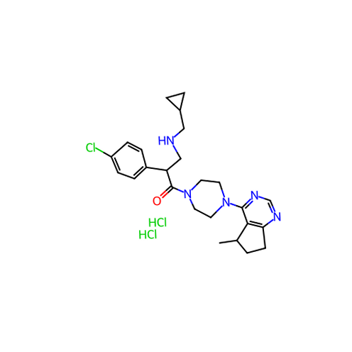 CC1CCc2ncnc(N3CCN(C(=O)C(CNCC4CC4)c4ccc(Cl)cc4)CC3)c21.Cl.Cl